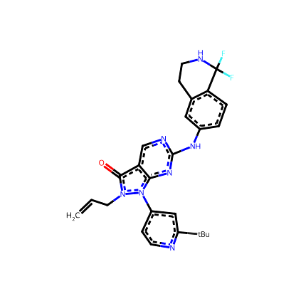 C=CCn1c(=O)c2cnc(Nc3ccc4c(c3)CCNC4(F)F)nc2n1-c1ccnc(C(C)(C)C)c1